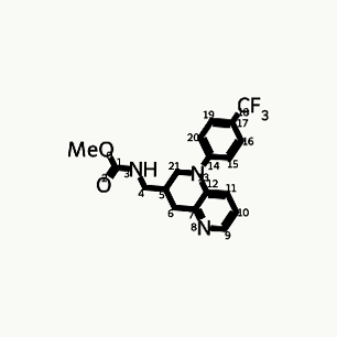 COC(=O)NCC1Cc2ncccc2N(c2ccc(C(F)(F)F)cc2)C1